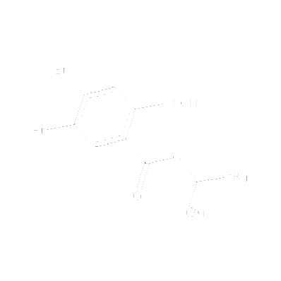 CCc1cc(C(=O)O)c(C(=O)OC(C(C)(C)C)C(C)(C)C)cc1CC